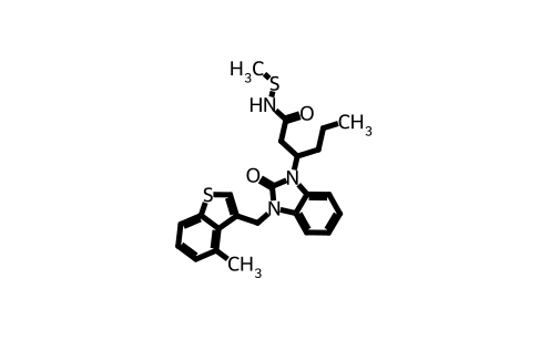 CCCC(CC(=O)NSC)n1c(=O)n(Cc2csc3cccc(C)c23)c2ccccc21